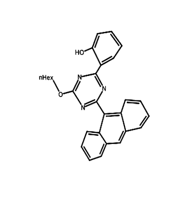 CCCCCCOc1nc(-c2ccccc2O)nc(-c2c3ccccc3cc3ccccc23)n1